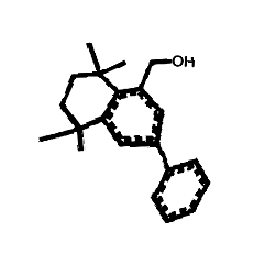 CC1(C)CCC(C)(C)c2c(CO)cc(-c3ccccc3)cc21